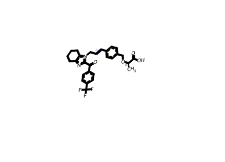 C[C@@H](OCc1ccc(/C=C/Cn2c(C(=O)c3ccc(C(F)(F)F)cc3)nc3c2CCCC3)cc1)C(=O)O